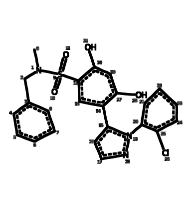 CN(Cc1ccccc1)S(=O)(=O)c1cc(-c2ccnn2-c2ccccc2Cl)c(O)cc1O